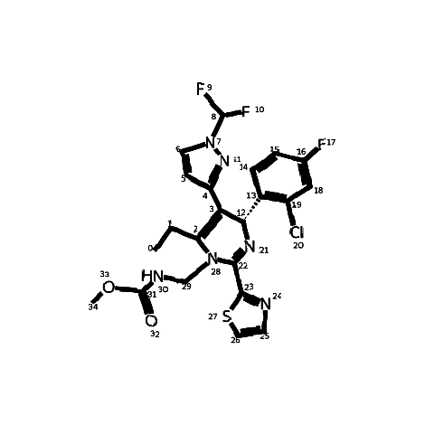 CCC1=C(c2ccn(C(F)F)n2)[C@H](c2ccc(F)cc2Cl)N=C(c2nccs2)N1CNC(=O)OC